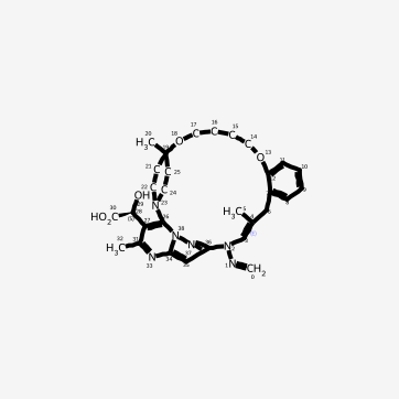 C=NN1/C=C(\C)Cc2ccccc2OCCCCOC2(C)CCN(CC2)c2c([C@H](O)C(=O)O)c(C)nc3cc1nn23